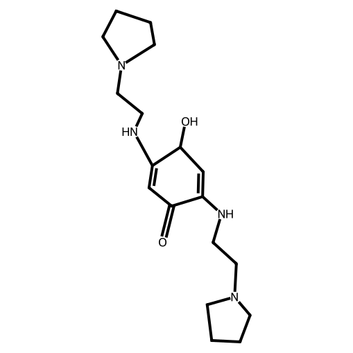 O=C1C=C(NCCN2CCCC2)C(O)C=C1NCCN1CCCC1